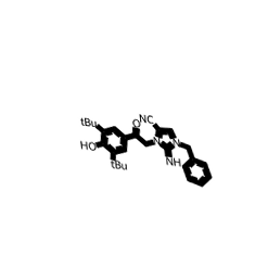 CC(C)(C)c1cc(C(=O)Cn2c(C#N)cn(Cc3ccccc3)c2=N)cc(C(C)(C)C)c1O